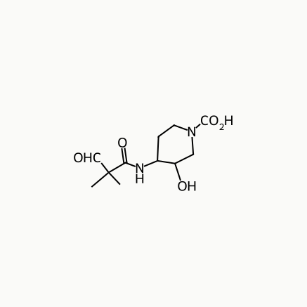 CC(C)(C=O)C(=O)NC1CCN(C(=O)O)CC1O